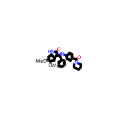 COc1cc2c(cc1OC)/C(=C(/Nc1ccc(C(=O)N3CCCCC3)cc1)c1ccccc1)C(=O)N2